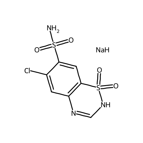 NS(=O)(=O)c1cc2c(cc1Cl)N=CNS2(=O)=O.[NaH]